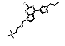 CCCn1cc(-c2nc(Cl)nc3c2ccn3COCC[Si](C)(C)C)cn1